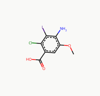 COc1cc(C(=O)O)c(Cl)c(I)c1N